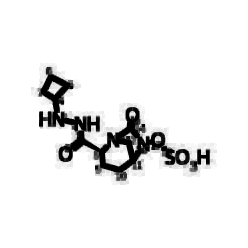 O=C(NNC1CCC1)[C@@H]1CCC2CN1C(=O)N2OS(=O)(=O)O